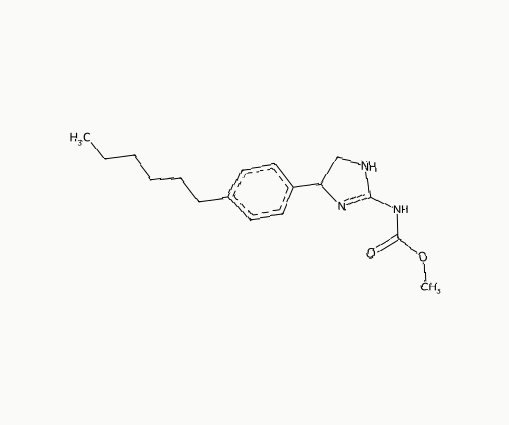 CCCCCCc1ccc(C2CNC(NC(=O)OC)=N2)cc1